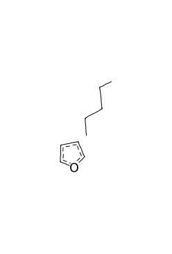 CCCCC.c1ccoc1